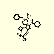 C[C@H]1C[C@]2(CCN1Cc1ccccc1)C(NC1CCCCC1)=NC(=O)N2C1CCC1.O=C(O)C(F)(F)F